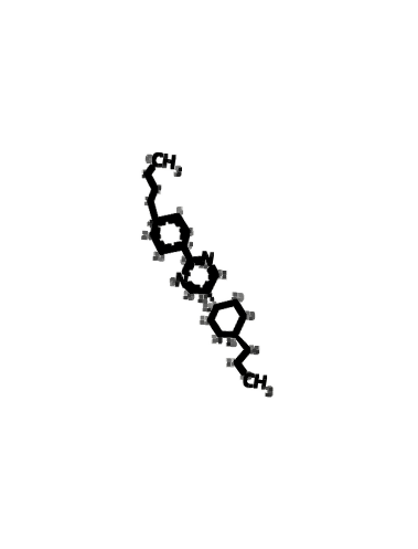 CCCCc1ccc(-c2ncc([C@H]3CC[C@H](CCC)CC3)cn2)cc1